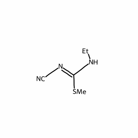 [CH2]CNC(=NC#N)SC